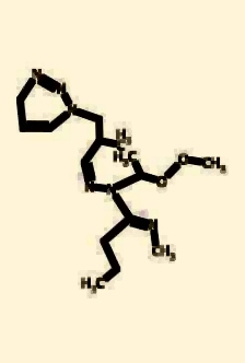 CCC/C(=N\C)N(/N=C\C(C)CN1C=CCN=N1)C(C)OOC